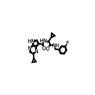 O=C(N[C@@H](C(=O)NCc1cccc(F)c1)C1CC1)c1c[nH]c2ncc(C3CC3)nc12